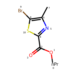 CCCOC(=O)c1nc(C)c(Br)s1